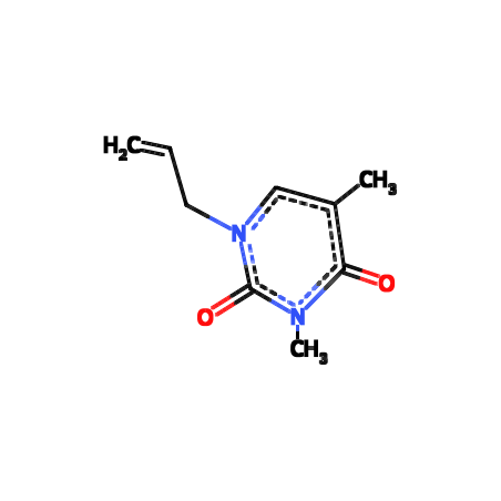 C=CCn1cc(C)c(=O)n(C)c1=O